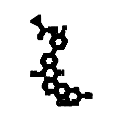 CCC(CC)Oc1cc2c(Nc3cc(-c4ccc(F)c(NC(=O)C5CC5)c4)ccc3OC)ncnc2cc1OC